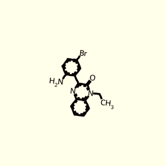 CCn1c(=O)c(-c2cc(Br)ccc2N)nc2ccccc21